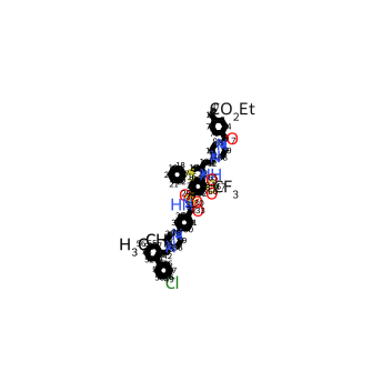 CCOC(=O)CC1CCC(C(=O)N2CCN(CCC(CSc3ccccc3)Nc3ccc(S(=O)(=O)NC(=O)c4ccc(N5CCN(CC6=C(c7ccc(Cl)cc7)CCC(C)(C)C6)CC5)cc4)cc3S(=O)(=O)C(F)(F)F)CC2)CC1